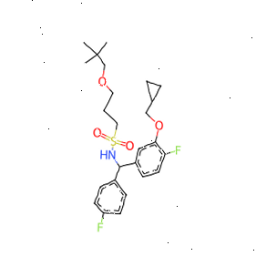 CC(C)(C)COCCCS(=O)(=O)NC(c1ccc(F)cc1)c1ccc(F)c(OCC2CC2)c1